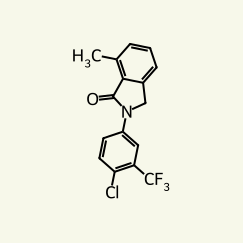 Cc1cccc2c1C(=O)N(c1ccc(Cl)c(C(F)(F)F)c1)C2